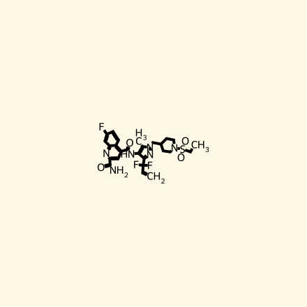 C=CC(F)(F)c1nn(CC2CCN(S(=O)(=O)CC)CC2)c(C)c1NC(=O)c1cc(C(N)=O)nc2cc(F)ccc12